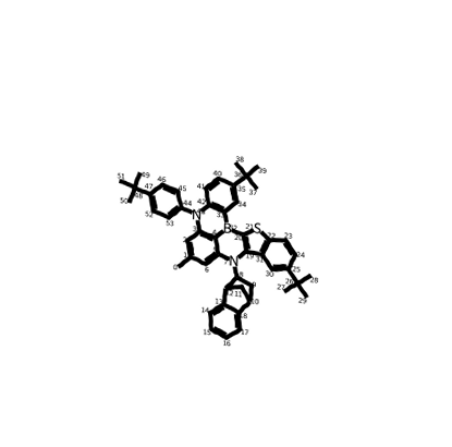 Cc1cc2c3c(c1)N(C1CC4CC1c1ccccc14)c1c(sc4ccc(C(C)(C)C)cc14)B3c1cc(C(C)(C)C)ccc1N2c1ccc(C(C)(C)C)cc1